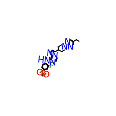 CCc1cnc(N2CCC(c3cnc4c(Nc5ccc(S(C)(=O)=O)cc5F)nccn34)CC2)nc1